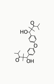 CC(C)C(=O)C(C)(C)C(O)c1ccc(Oc2ccc(C(O)C(C)(C)C(=O)C(C)C)cc2)cc1